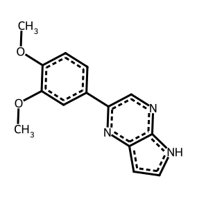 COc1ccc(-c2cnc3[nH]ccc3n2)cc1OC